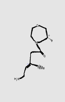 CN/C(=C\CN)CC(=O)N1CCOC[C@@H]1C